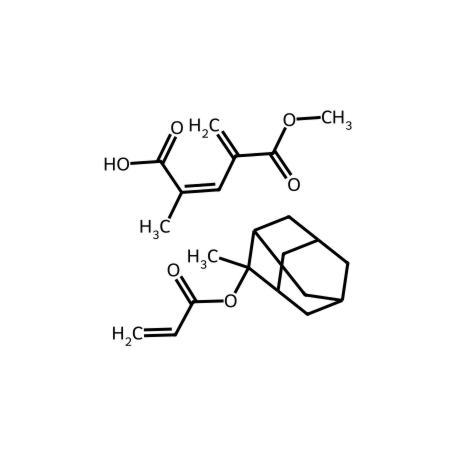 C=C(C=C(C)C(=O)O)C(=O)OC.C=CC(=O)OC1(C)C2CC3CC(C2)CC1C3